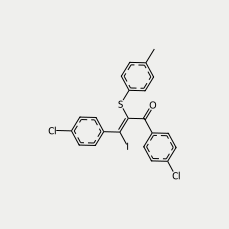 Cc1ccc(SC(C(=O)c2ccc(Cl)cc2)=C(I)c2ccc(Cl)cc2)cc1